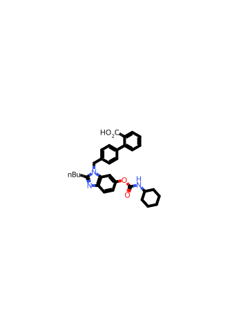 CCCCc1nc2ccc(OC(=O)NC3CCCCC3)cc2n1Cc1ccc(-c2ccccc2C(=O)O)cc1